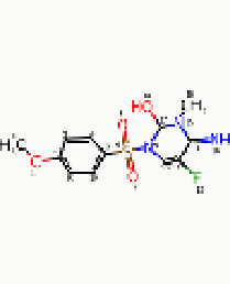 COc1ccc(S(=O)(=O)N2C=C(F)C(=N)N(C)C2O)cc1